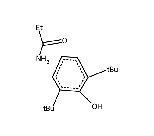 CC(C)(C)c1cccc(C(C)(C)C)c1O.CCC(N)=O